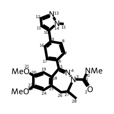 CNC(=O)N1N=C(c2ccc(-c3ccnn3C)cc2)c2cc(OC)c(OC)cc2CC1C